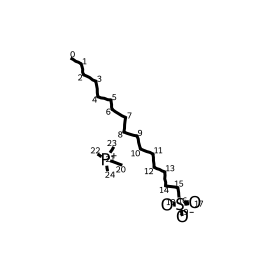 CCCCCCCCCCCCCCCCS(=O)(=O)[O-].C[P+](C)(C)C